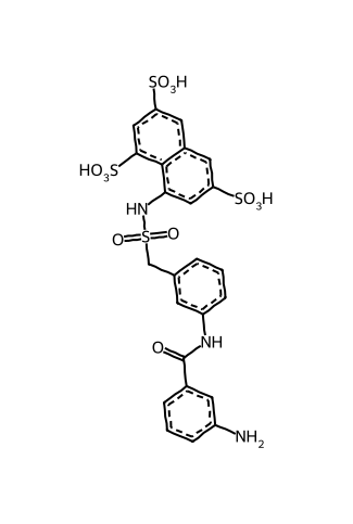 Nc1cccc(C(=O)Nc2cccc(CS(=O)(=O)Nc3cc(S(=O)(=O)O)cc4cc(S(=O)(=O)O)cc(S(=O)(=O)O)c34)c2)c1